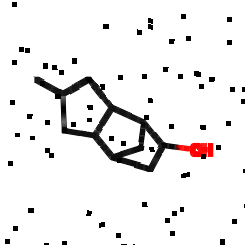 CC1CC2C3CC(O)C(C3)C2C1